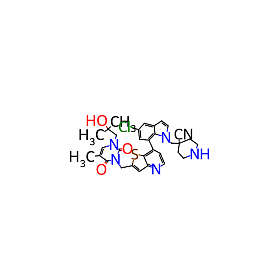 Cc1cn(CC(C)(C)O)c(=O)n(Cc2cc3nccc(-c4cc(Cl)cc5ccn(CC6(C#N)CCNCC6)c45)c3s2)c1=O